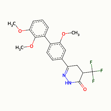 COc1cc(C2=NNC(=O)C(C(F)(F)F)C2)ccc1-c1cccc(OC)c1OC